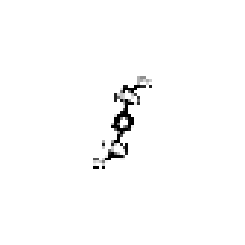 CCC1CN=C(c2ccc(C3=NCC(CC)O3)cc2)O1